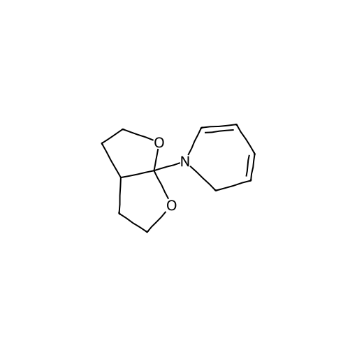 C1=CCN(C23OCCC2CCO3)C=C1